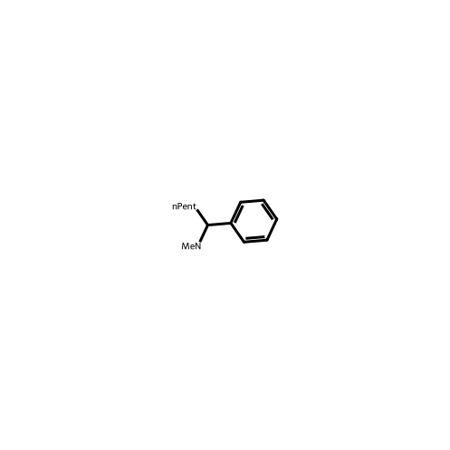 CCCCCC(NC)c1ccccc1